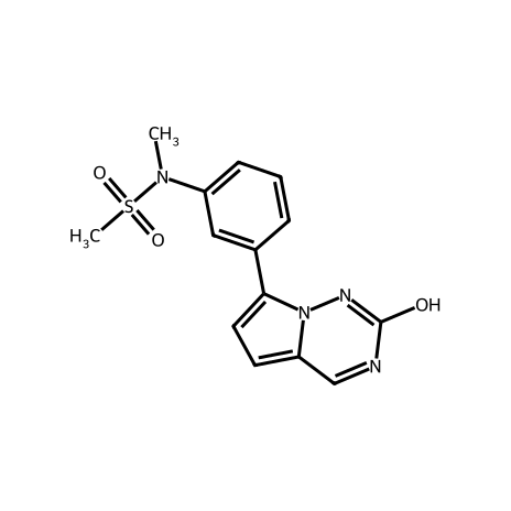 CN(c1cccc(-c2ccc3cnc(O)nn23)c1)S(C)(=O)=O